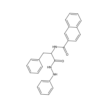 O=C(NC(Cc1ccccc1)C(=O)NNc1ccccc1)c1ccc2ccccc2c1